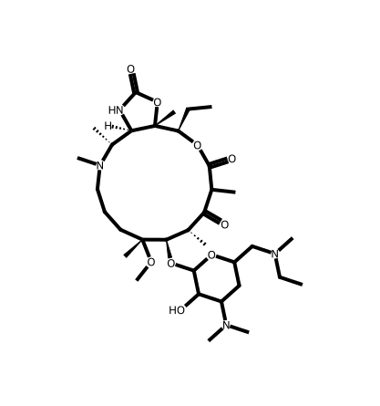 CC[C@H]1OC(=O)C(C)C(=O)[C@H](C)[C@@H](OC2OC(CN(C)CC)CC(N(C)C)C2O)[C@](C)(OC)CCCN(C)[C@H](C)[C@H]2NC(=O)O[C@@]21C